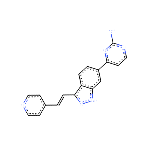 Nc1nccc(-c2ccc3c(C=Cc4ccncc4)n[nH]c3c2)n1